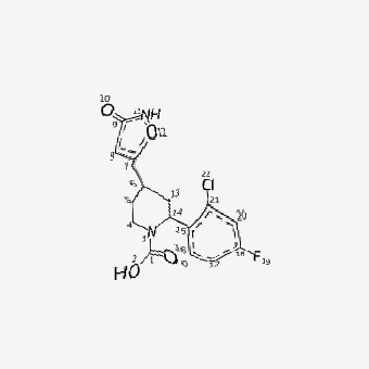 O=C(O)N1CCC(c2cc(=O)[nH]o2)CC1c1ccc(F)cc1Cl